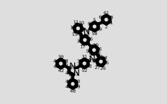 c1ccc(-c2ccc(-n3c4ccccc4c4ccc(-c5ccc6c7ccccc7n(-c7ccc(-c8nc(-c9ccccc9)cc(-c9ccccc9)n8)cc7)c6c5)cc43)cc2)cc1